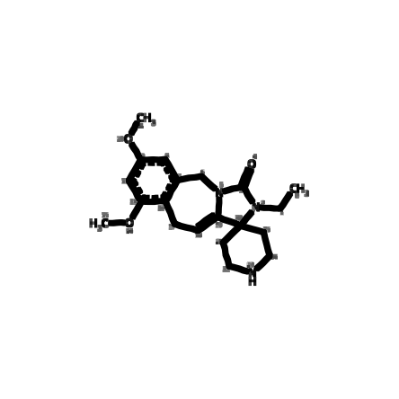 CCN1C(=O)N2Cc3cc(OC)cc(OC)c3CC=C2C12CCNCC2